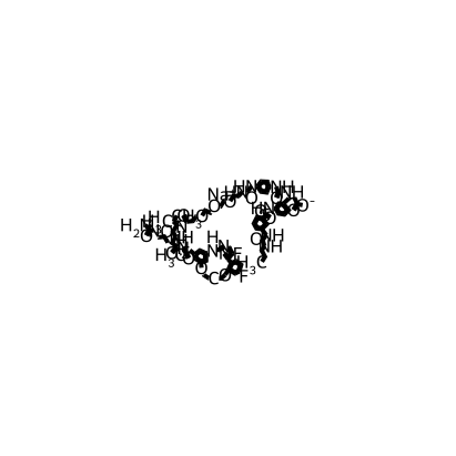 CCCNC(=O)Nc1cccc(S(=O)(=O)Nc2cccc([C@H](CC(=O)[O-])NC(=O)Nc3ccc(NC(=O)NCCOCCOCCOCCC(=O)N[C@H](C(=O)N[C@@H](CCCNC(N)=O)C(=O)N=[S@@](C)(=O)Cc4cc5cc(c4)OCCCCOc4cc(F)ccc4-c4nc(ncc4F)N5)C(C)C)cc3)c2)c1.[Na+]